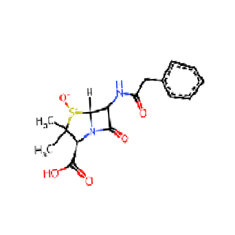 CC1(C)[C@H](C(=O)O)N2C(=O)C(NC(=O)Cc3ccccc3)[C@H]2[S+]1[O-]